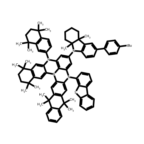 CC(C)(C)c1ccc(-c2ccc3c(c2)C2(C)CCCCC2(C)N3c2cc3c4c(c2)N(c2cccc5c2sc2ccccc25)c2cc5c(cc2B4c2cc4c(cc2N3c2ccc3c(c2)C(C)(C)CCC3(C)C)C(C)(C)CCC4(C)C)C(C)(C)c2ccccc2C5(C)C)cc1